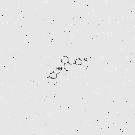 COc1ccc(CC2CCCCC2C(=O)NCc2ccc(C)cc2)cc1